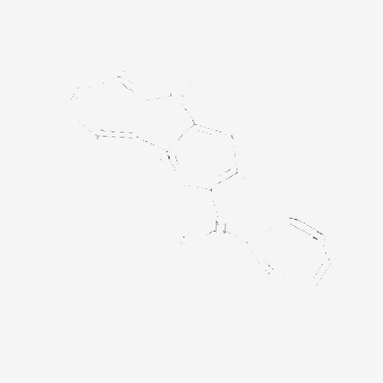 CC(=O)N(c1ccccc1)c1ccc2oc3ccccc3c2c1